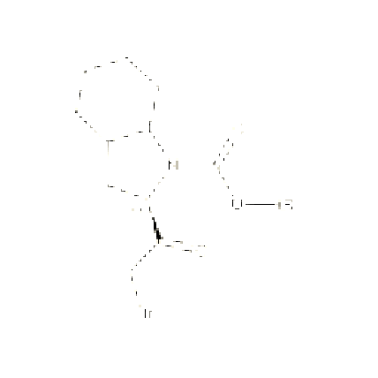 CC(C)(C)OC(=O)N1C2CCCCC2C[C@@H]1C(=O)CBr